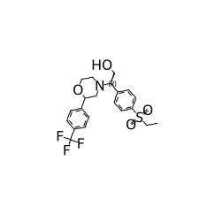 CCS(=O)(=O)c1ccc([C@H](CO)N2CCOC(c3ccc(C(F)(F)F)cc3)C2)cc1